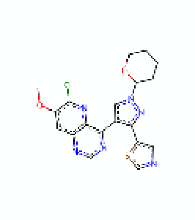 COc1cc2ncnc(-c3cn(C4CCCCO4)nc3-c3cncs3)c2nc1Cl